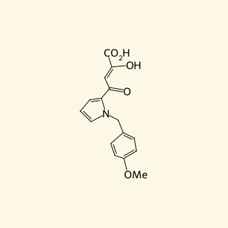 COc1ccc(Cn2cccc2C(=O)C=C(O)C(=O)O)cc1